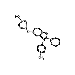 Cc1ccc(-n2c(-c3ccccc3)nc3ccc(Oc4ccc(O)cc4)cc32)cc1